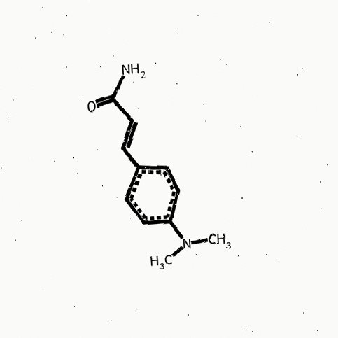 CN(C)c1ccc(C=CC(N)=O)cc1